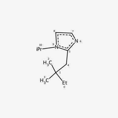 CCC(C)(C)Cc1nccn1C(C)C